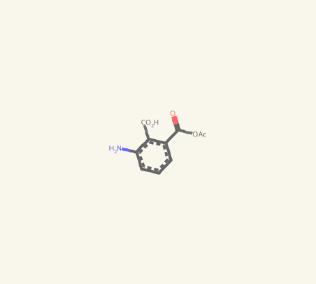 CC(=O)OC(=O)c1cccc(N)c1C(=O)O